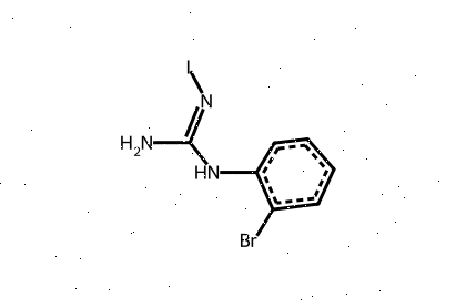 NC(=NI)Nc1ccccc1Br